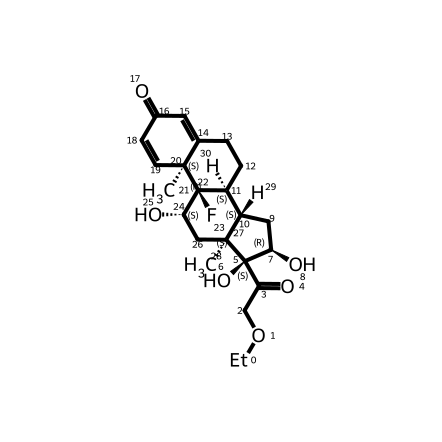 CCOCC(=O)[C@@]1(O)[C@H](O)C[C@H]2[C@@H]3CCC4=CC(=O)C=C[C@]4(C)[C@@]3(F)[C@@H](O)C[C@@]21C